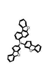 c1ccc2c(c1)oc1cc(N(c3ccc4c(c3)oc3ccccc34)c3cccc4c3ccc3oc5ccccc5c34)ccc12